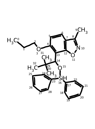 CCCOc1ccc2c(C)noc2c1C(O[SiH](c1ccccc1)c1ccccc1)C(C)(C)C